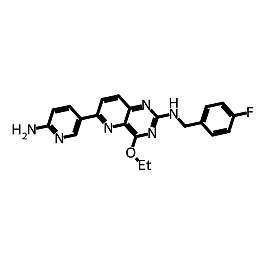 CCOc1nc(NCc2ccc(F)cc2)nc2ccc(-c3ccc(N)nc3)nc12